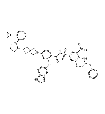 O=C(NS(=O)(=O)c1cc([N+](=O)[O-])c2c(n1)OCC(Cc1ccccc1)N2)c1ccc(N2CC3(CC(N4CCC[C@H]4c4ccccc4C4CC4)C3)C2)cc1Oc1cnc2[nH]ccc2c1